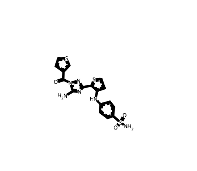 Nc1nc(-c2sccc2Nc2ccc(S(N)(=O)=O)cc2)nn1C(=O)c1ccsc1